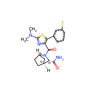 CN(C)c1nc(C(=O)N2[C@@H]3CC[C@@H](C3)[C@H]2C(N)=O)c(-c2cccc(F)c2)s1